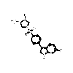 N[C@H]1CN(S(=O)(=O)c2ccc(-c3c[nH]c4cc(F)ccc34)cc2)C[C@@H]1F